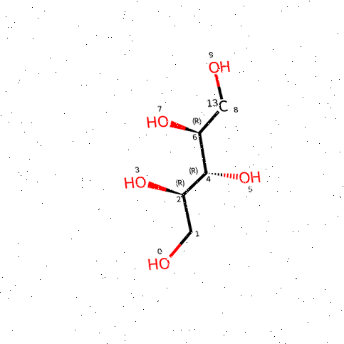 OC[C@@H](O)[C@@H](O)[C@@H](O)[13CH2]O